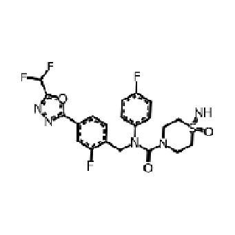 N=S1(=O)CCN(C(=O)N(Cc2ccc(-c3nnc(C(F)F)o3)cc2F)c2ccc(F)cc2)CC1